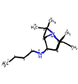 CCCCNC1CC(C)(C)N2C1C2(C)C